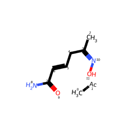 CC(C)=O.CC(CC=CC(N)=O)=NO